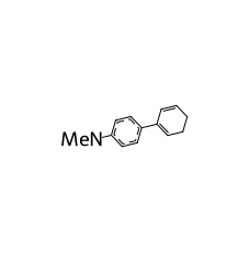 CNc1ccc(C2=CCCC=C2)cc1